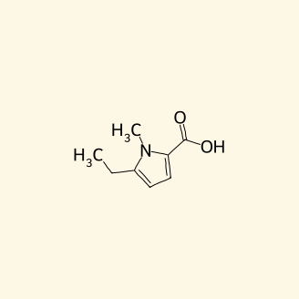 CCc1ccc(C(=O)O)n1C